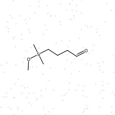 CO[Si](C)(C)CCCC=O